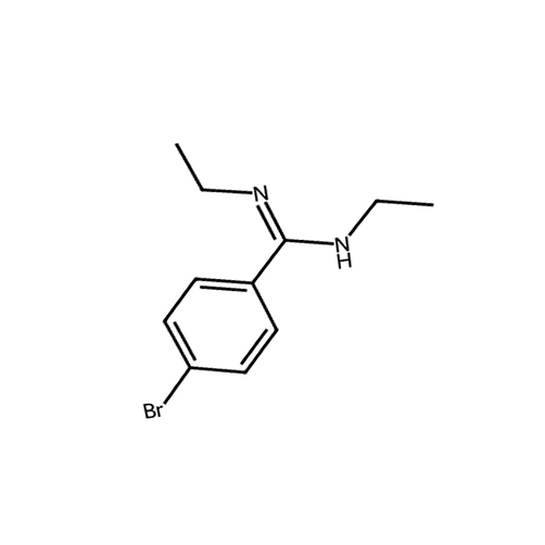 CC/N=C(/NCC)c1ccc(Br)cc1